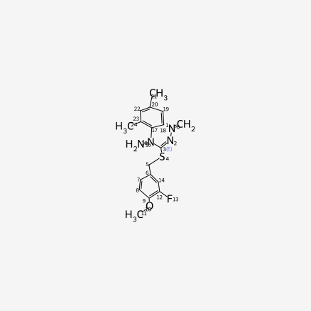 C=N/N=C(/SCc1ccc(OC)c(F)c1)N(N)c1ccc(C)cc1C